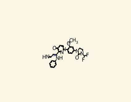 COc1cc(N2CCN(C(F)F)C2=O)ccc1-n1ccc(=O)c(/C(=C/C=N)Nc2ccccc2)n1